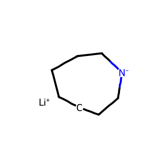 C1CCC[N-]CCC1.[Li+]